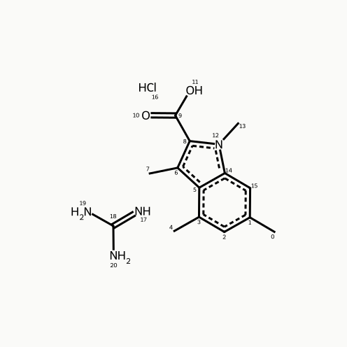 Cc1cc(C)c2c(C)c(C(=O)O)n(C)c2c1.Cl.N=C(N)N